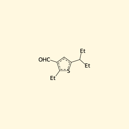 CCc1sc(C(CC)CC)cc1C=O